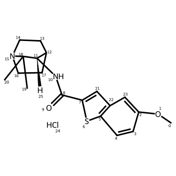 COc1ccc2sc(C(=O)N[C@H]3C4CCN(CC4)C3(C)C)cc2c1.Cl